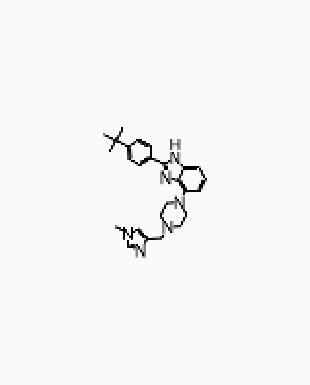 Cn1cnc(CN2CCN(c3cccc4[nH]c(-c5ccc(C(C)(C)C)cc5)nc34)CC2)c1